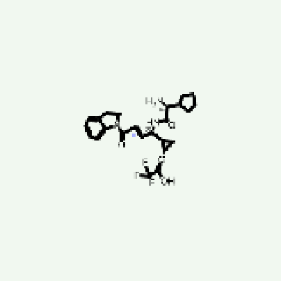 N[C@H](C(=O)N[C@H](/C=C/C(=O)N1CCc2ccccc21)C1CC1)C1CCCC1.O=C(O)C(F)(F)F